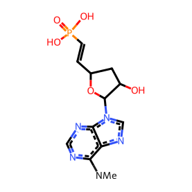 CNc1ncnc2c1ncn2C1OC(/C=C/P(=O)(O)O)CC1O